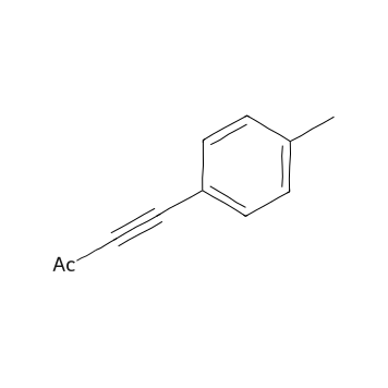 CC(=O)C#Cc1ccc(C)cc1